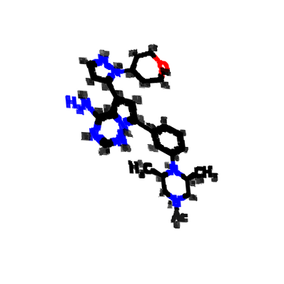 CC(=O)N1C[C@@H](C)N(c2cccc(-c3cc(-c4ccnn4C4CCOCC4)c4c(N)ncnn34)c2)[C@@H](C)C1